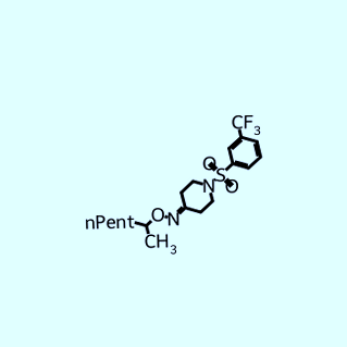 CCCCCC(C)ON=C1CCN(S(=O)(=O)c2cccc(C(F)(F)F)c2)CC1